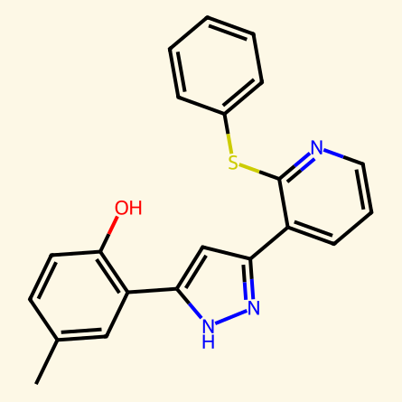 Cc1ccc(O)c(-c2cc(-c3cccnc3Sc3ccccc3)n[nH]2)c1